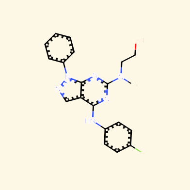 CCN(CCO)c1nc(Nc2ccc(F)cc2)c2cnn(-c3ccccc3)c2n1